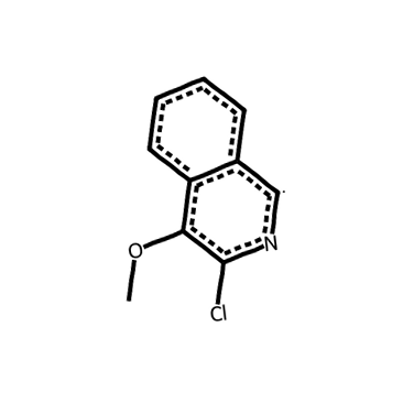 COc1c(Cl)n[c]c2ccccc12